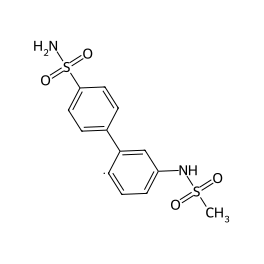 CS(=O)(=O)Nc1cc[c]c(-c2ccc(S(N)(=O)=O)cc2)c1